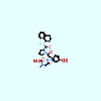 C[C@@H](C(=O)N[C@H](C(=O)N1CCC[C@H]1C(=O)N[C@@H]1CCCc2ccccc21)c1ccc(O)cc1)N(C)C(=O)O